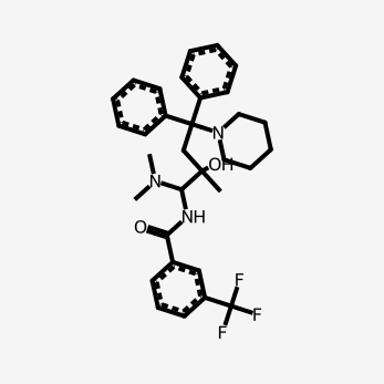 CN(C)C(NC(=O)c1cccc(C(F)(F)F)c1)C(C)(O)CC(c1ccccc1)(c1ccccc1)N1CCCCC1